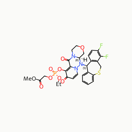 CCOP(=O)(OCC(=O)OC)Oc1c2n(ccc1=O)N([C@@H]1c3ccccc3SCc3c1ccc(F)c3F)[C@@H]1COCCN1C2=O